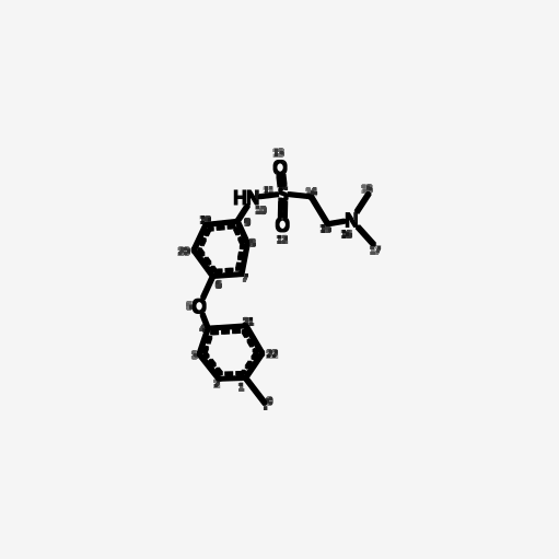 [CH2]c1ccc(Oc2ccc(NS(=O)(=O)CCN(C)C)cc2)cc1